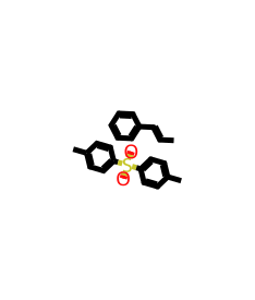 C/C=C/c1ccccc1.Cc1ccc(S(=O)(=O)c2ccc(C)cc2)cc1